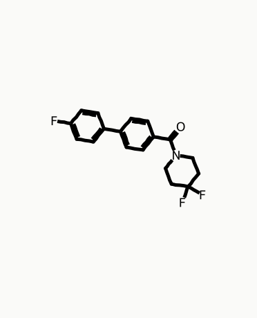 O=C(c1ccc(-c2ccc(F)cc2)cc1)N1CCC(F)(F)CC1